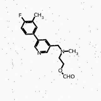 Cc1cc(-c2cncc(CN(C)CCOC=O)c2)ccc1F